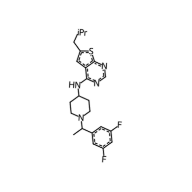 CC(C)Cc1cc2c(NC3CCN(C(C)c4cc(F)cc(F)c4)CC3)ncnc2s1